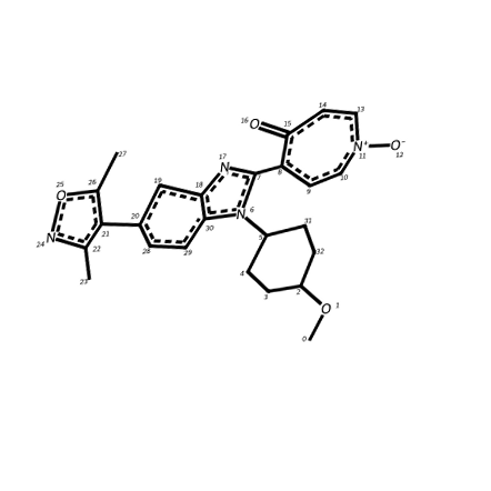 COC1CCC(n2c(-c3cc[n+]([O-])ccc3=O)nc3cc(-c4c(C)noc4C)ccc32)CC1